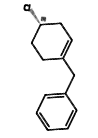 Cl[C@@H]1CC=C(Cc2ccccc2)CC1